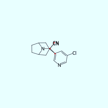 CC(C#N)N1C2CCC1CC(C#N)(c1cncc(Cl)c1)C2